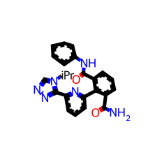 CC(C)n1cnnc1-c1cccc(-c2c(C(N)=O)cccc2C(=O)Nc2ccccc2)n1